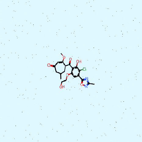 COC1=CC(=O)CC(C)CC1C(=O)c1c(OCCO)cc(-c2nc(C)no2)c(Cl)c1O